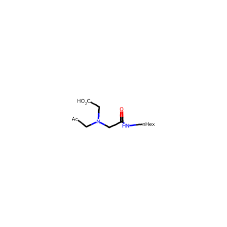 CCCCCCNC(=O)CN(CC(C)=O)CC(=O)O